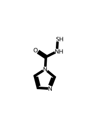 O=C(NS)n1ccnc1